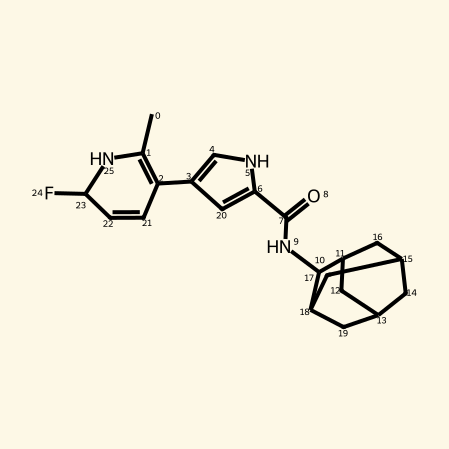 CC1=C(c2c[nH]c(C(=O)NC3C4CC5CC(C4)CC3C5)c2)C=CC(F)N1